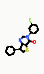 O=c1c2scc(-c3ccccc3)c2ncn1-c1cccc(F)c1